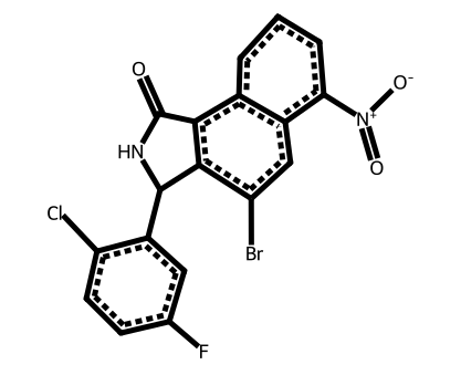 O=C1NC(c2cc(F)ccc2Cl)c2c(Br)cc3c([N+](=O)[O-])cccc3c21